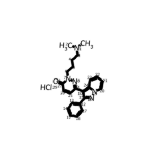 CN(C)CCCCn1nc(-c2c(-c3ccccc3)nn3ccccc23)ccc1=O.Cl